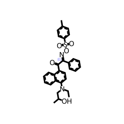 CCN(CC(C)O)c1ccc(C(=O)/C(=N/OS(=O)(=O)c2ccc(C)cc2)c2ccccc2)c2ccccc12